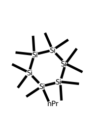 CCC[Si]1(C)[Si](C)(C)[Si](C)(C)[Si](C)(C)[Si](C)(C)[Si]1(C)C